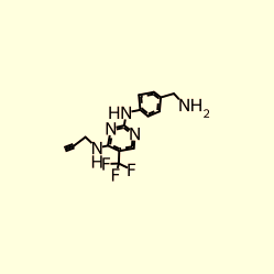 C#CCNc1nc(Nc2ccc(CN)cc2)ncc1C(F)(F)F